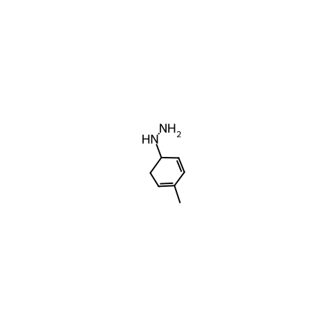 CC1=CCC(NN)C=C1